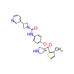 Cc1ccsc1C(=O)[C@@]1(Oc2ccc(NC(=O)N3CC(c4cccnc4)C3)cc2)CCNC1